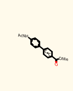 COC(=O)C12CCC(c3ccc(NC(C)=O)cc3)(CC1)CC2